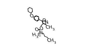 CCCCN(C)C(=O)OCc1c(C)noc1-c1ccc(OC2CCCCC2)cc1